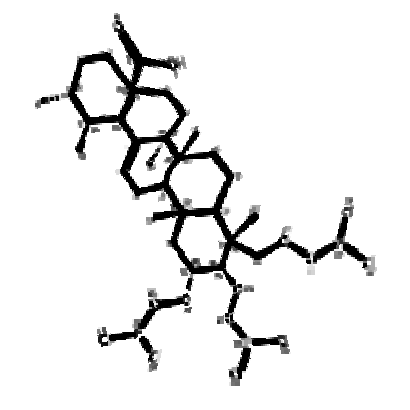 C[C@@H]1CC[C@]2(C(=O)O)CC[C@]3(C)C(=CCC4[C@@]5(C)C[C@@H](OOP(Cl)Cl)[C@H](OOP(Cl)Cl)[C@@](C)(COOP(Cl)Cl)C5CC[C@]43C)C2[C@H]1C